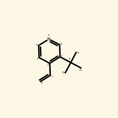 C=Cc1ccncc1C(C)(C)C